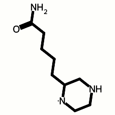 NC(=O)CCCCC1CNCC[N]1